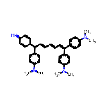 CN(C)c1ccc(C(=CC=CC=CC(c2ccc(N(C)C)cc2)C2C=CC(=N)C=C2)c2ccc(N(C)C)cc2)cc1